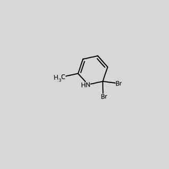 CC1=CC=CC(Br)(Br)N1